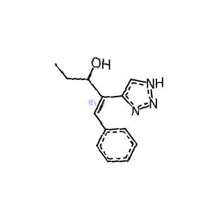 CCC(O)/C(=C/c1ccccc1)c1c[nH]nn1